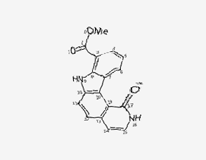 COC(=O)c1cccc2c1[nH]c1ccc3cc[nH]c(=O)c3c12